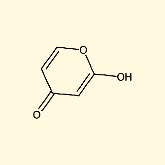 O=c1ccoc(O)c1